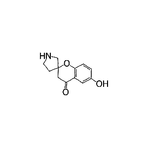 O=C1CC2(CCNC2)Oc2ccc(O)cc21